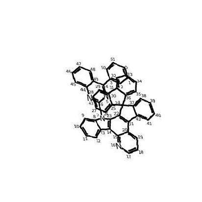 c1ccc(-c2nc(-n3c4ccccc4c4c5ncccc5c5c(c43)C3(c4ccccc4-c4ccccc43)c3ccccc3-5)nc3ccccc23)cc1